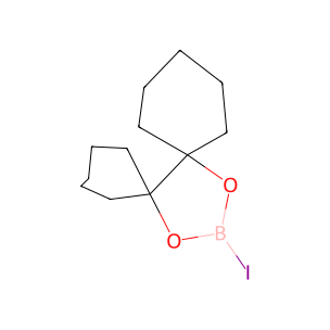 IB1OC2(CCCCC2)C2(CCCCC2)O1